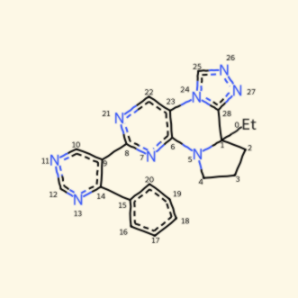 CCC12CCCN1c1nc(-c3cncnc3-c3ccccc3)ncc1-n1cnnc12